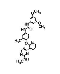 CNc1ncnc(-c2cccnc2Oc2ccc(NC(=O)Nc3cc(OC)cc(OC)c3)cc2C)n1